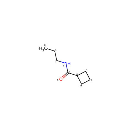 [CH2]CCNC(=O)C1CCC1